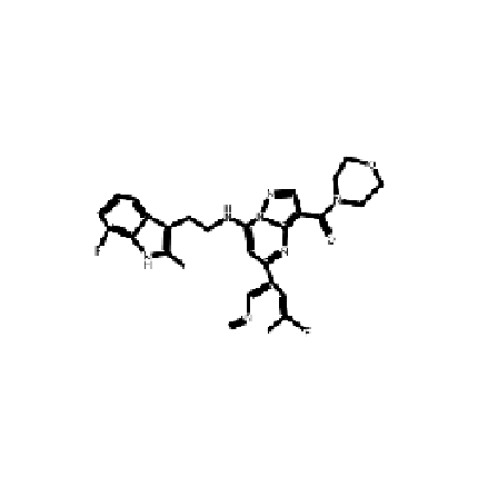 C=N/C=C(\C=C(/C)F)c1cc(NCCc2c(C)[nH]c3c(F)cccc23)n2ncc(C(=O)N3CCOCC3)c2n1